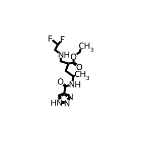 CCOC(=O)C(CNCC(F)F)CC(C)NC(=O)c1c[nH]nn1